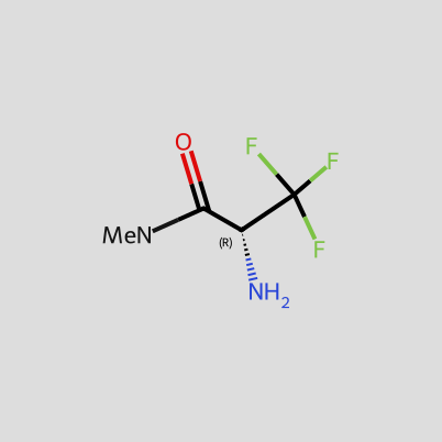 CNC(=O)[C@@H](N)C(F)(F)F